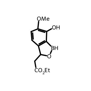 CCOC(=O)CC1OBc2c1ccc(OC)c2O